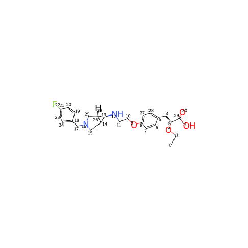 CCO[C@@H](Cc1ccc(OCCN[C@H]2C3CN(Cc4ccc(F)cc4)C[C@@H]32)cc1)C(=O)O